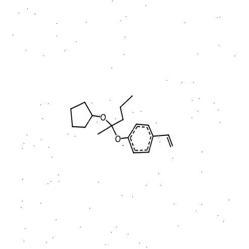 C=Cc1ccc(OC(C)(CCC)OC2CCCC2)cc1